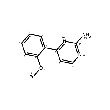 CC(C)Oc1ccccc1-c1ccnc(N)n1